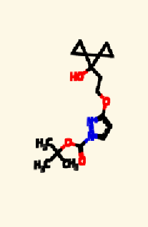 CC(C)(C)OC(=O)n1ccc(OCCC2(O)C3(CC3)C23CC3)n1